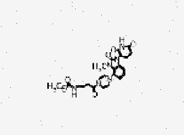 COC(=O)NCCCC(=O)N1CCN(c2cccc3c2n(C)c(=O)n3C2CCC(=O)NC2=O)CC1